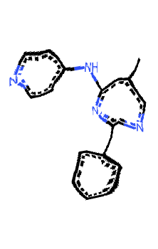 Cc1cnc(-c2ccccc2)nc1Nc1ccncc1